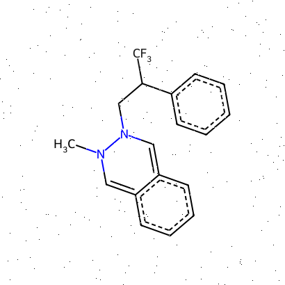 CN1C=c2ccccc2=CN1CC(c1ccccc1)C(F)(F)F